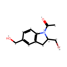 CC(=O)N1c2ccc(CO)cc2CC1CBr